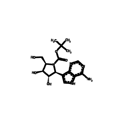 CC(C)(C)OC(=O)N1[C@H](CO)[C@H](O)[C@@H](O)[C@@H]1c1c[nH]c2c(N)ncnc12